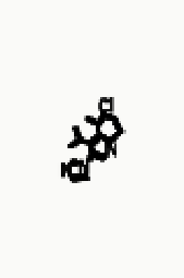 Cc1c(Cl)ccc2ncc(-n3ccnc3)c(C(C)C)c12